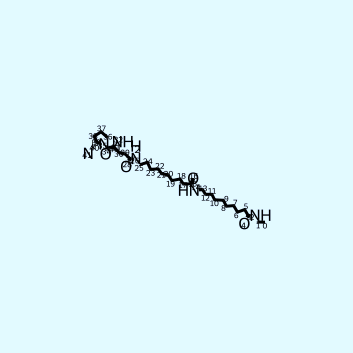 CCNC(=O)CCCCCCCCCNC(=O)CCCCCCCCCNC(=O)CC[C@H](N)C(=O)N1CCC[C@H]1C#N